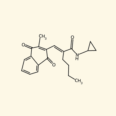 CCCC/C(=C\C1=C(C)C(=O)c2ccccc2C1=O)C(=O)NC1CC1